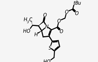 C[C@@H](O)[C@H]1C(=O)N2C(C(=O)OCOC(=O)C(C)(C)C)=C(c3ccc(CO)s3)C[C@H]12